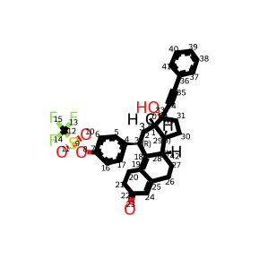 C[C@]12C[C@H](c3ccc(OS(=O)(=O)C(F)(F)F)cc3)C3=C4CCC(=O)C=C4CC[C@H]3[C@@H]1CC[C@@]2(O)C#Cc1ccccc1